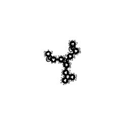 c1ccc2c(c1)oc1ccc(-c3ccc4c(c3)c3cc(-c5ccc6c7ccccc7c7ccccc7c6c5)ccc3n4-c3ccc(-c4cccc5c4oc4ccccc45)cc3)cc12